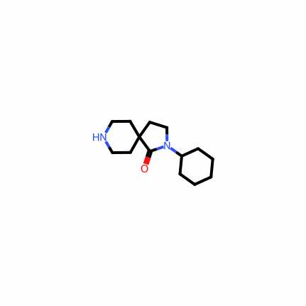 O=C1N(C2CCCCC2)CCC12CCNCC2